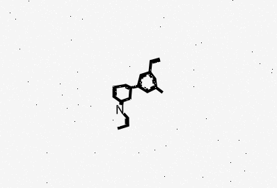 C=Cc1cc(C)cc(C2=CC=C/C(=N/C=C\C)C2)c1